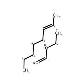 CC=CCCCCC.CCOC=O